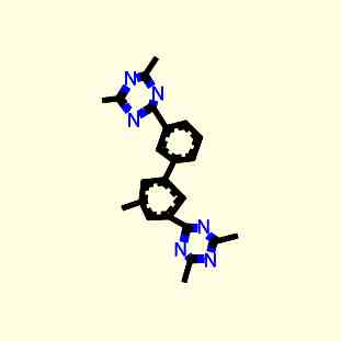 Cc1cc(-c2cccc(-c3nc(C)nc(C)n3)c2)cc(-c2nc(C)nc(C)n2)c1